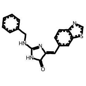 O=C1NC(NCc2ccccc2)=N/C1=C\c1ccc2ncsc2c1